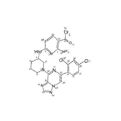 Nc1nc(NC2CCCN(c3nc(-c4ccc(Cl)cc4Cl)cn4ncnc34)C2)ccc1C(=O)C(F)(F)F